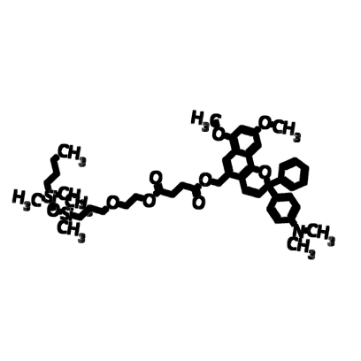 CCCC[Si](C)(C)O[Si](C)(C)CCCOCCOC(=O)CCC(=O)OCc1cc2c(OC)cc(OC)cc2c2c1C=CC(c1ccccc1)(c1ccc(N(C)C)cc1)O2